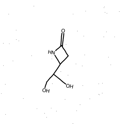 O=C1CC(C(O)CO)N1